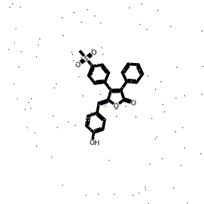 CS(=O)(=O)c1ccc(C2=C(c3ccccc3)C(=O)O/C2=C\c2ccc(O)cc2)cc1